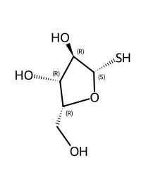 OC[C@H]1O[C@@H](S)[C@H](O)[C@H]1O